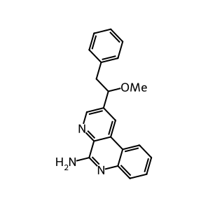 COC(Cc1ccccc1)c1cnc2c(N)nc3ccccc3c2c1